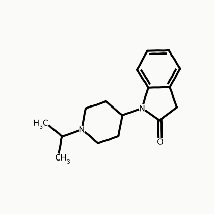 CC(C)N1CCC(N2C(=O)Cc3ccccc32)CC1